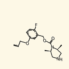 C=CCOc1ccc(F)c(COC(=O)N2[C@H](C)CNC[C@@H]2C)c1